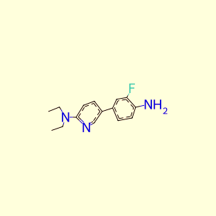 CCN(CC)c1ccc(-c2ccc(N)c(F)c2)cn1